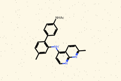 CC(=O)Nc1ccc(-c2ccc(C)cc2Nc2ccnc3nc(C)ccc23)cc1